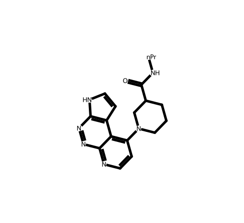 CCCNC(=O)C1CCCN(c2ccnc3nnc4[nH]ccc4c23)C1